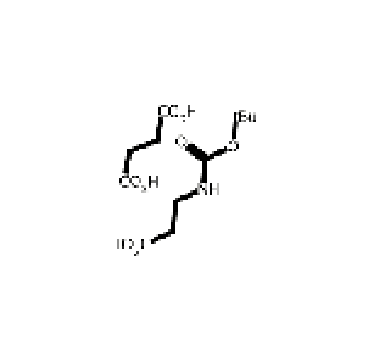 CC(C)(C)OC(=O)NCCC(=O)O.O=C(O)CCC(=O)O